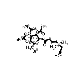 C#CC[N+](C)(C)CCCC(=O)O[C@@H]1O[C@@H](C)[C@@H](OC(=O)CCC)[C@@H](OC(=O)CCC)[C@@H]1OC(=O)CCC.[Br-]